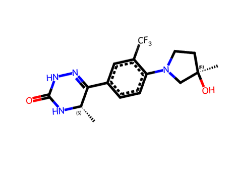 C[C@@H]1NC(=O)NN=C1c1ccc(N2CC[C@@](C)(O)C2)c(C(F)(F)F)c1